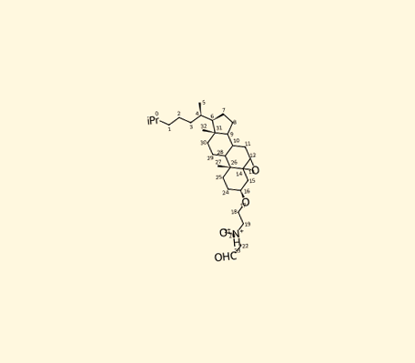 CC(C)CCC[C@@H](C)[C@H]1CCC2C3CC4OC45C[C@@H](OCC[NH+]([O-])CC=O)CC[C@]5(C)C3CC[C@@]21C